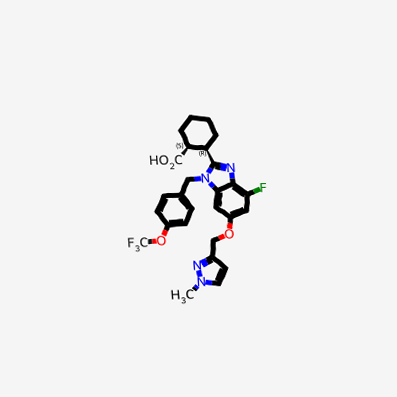 Cn1ccc(COc2cc(F)c3nc([C@@H]4CCCC[C@@H]4C(=O)O)n(Cc4ccc(OC(F)(F)F)cc4)c3c2)n1